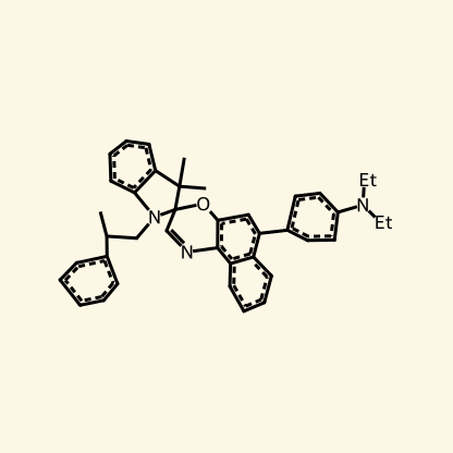 CCN(CC)c1ccc(-c2cc3c(c4ccccc24)N=CC2(O3)N(CC(C)c3ccccc3)c3ccccc3C2(C)C)cc1